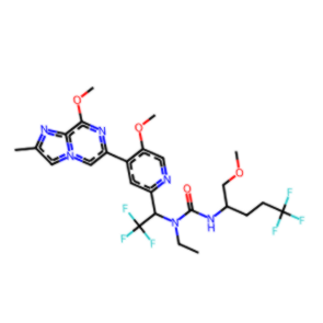 CCN(C(=O)NC(CCC(F)(F)F)COC)C(c1cc(-c2cn3cc(C)nc3c(OC)n2)c(OC)cn1)C(F)(F)F